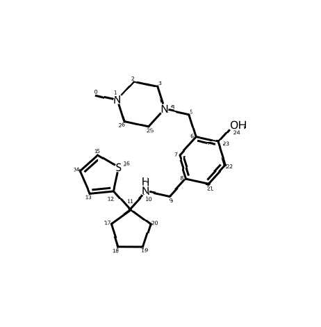 CN1CCN(Cc2cc(CNC3(c4cccs4)CCCC3)ccc2O)CC1